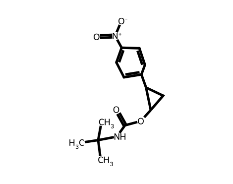 CC(C)(C)NC(=O)OC1CC1c1ccc([N+](=O)[O-])cc1